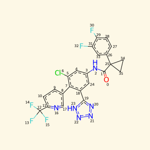 O=C(Nc1cc(Cl)c(-c2ccc(C(F)(F)F)nc2)c(-c2nnn[nH]2)c1)C1(c2ccc(F)c(F)c2)CC1